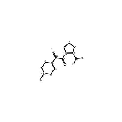 CC(C)[C@@H]1CCCN1C(=O)C(=O)N1CCN(C)CC1